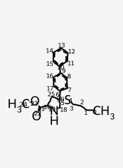 CCCCS[C@]1(c2ccc(-c3ccccc3)cc2)CNC(C(=O)OC)C1